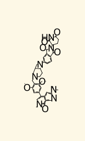 COc1cc(-c2cn(C)c(=O)c3cnc(N(C)C)cc23)cc(OC)c1CN1CCC2C(C1)CN2c1ccc2c(c1)C(=O)N(C1CCC(=O)NC1=O)C2=O